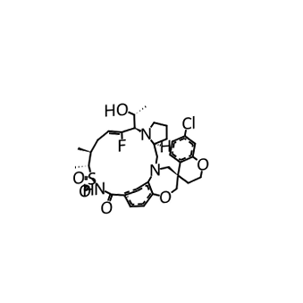 C[C@@H]1[C@@H](C)C/C=C(\F)[C@@H]([C@@H](C)O)N2CCC[C@H]2CN2C[C@@]3(CCOc4cc(Cl)ccc43)COc3ccc(cc32)C(=O)NS1(=O)=O